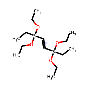 CCO[Si](/[C]=[C]/[Si](CC)(OCC)OCC)(CC)OCC